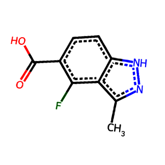 Cc1n[nH]c2ccc(C(=O)O)c(F)c12